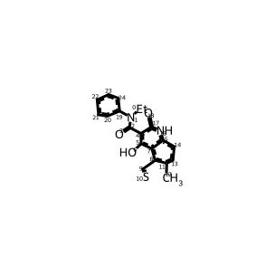 CCN(C(=O)c1c(O)c2c(C=S)c(C)ccc2[nH]c1=O)c1ccccc1